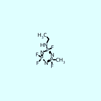 CCNP1(F)=NP(C)(F)=NP(F)(F)=N1